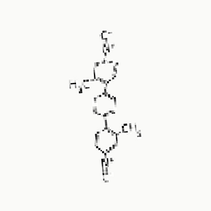 [C-]#[N+]c1ccc(-c2ccc(-c3ccc([N+]#[C-])cc3C)cc2)c(C)c1